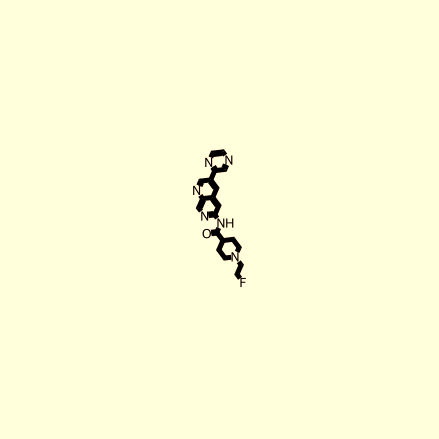 O=C(Nc1cc2cc(-c3cnccn3)cnc2cn1)C1CCN(CCF)CC1